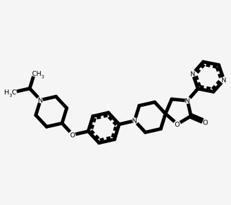 CC(C)N1CCC(Oc2ccc(N3CCC4(CC3)CN(c3cnccn3)C(=O)O4)cc2)CC1